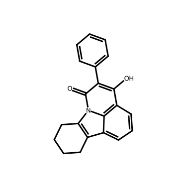 O=c1c(-c2ccccc2)c(O)c2cccc3c4c(n1c23)CCCC4